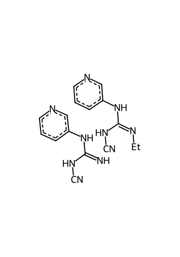 CCN=C(NC#N)Nc1cccnc1.N#CNC(=N)Nc1cccnc1